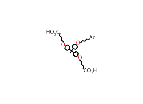 CC(=O)CCCCCOC1CCC(C(C)(c2ccc(OCCCCCC(=O)O)cc2)C2CCC(OCCCCCC(=O)O)CC2)CC1